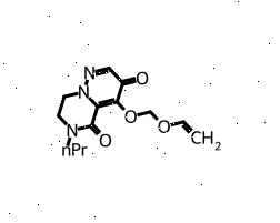 C=COCOc1c2n(ncc1=O)CCN(CCC)C2=O